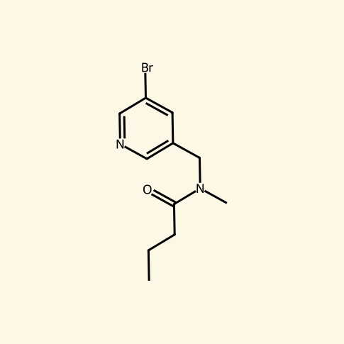 CCCC(=O)N(C)Cc1cncc(Br)c1